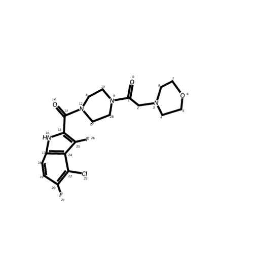 O=C(CN1CCOCC1)N1CCN(C(=O)c2[nH]c3ccc(F)c(Cl)c3c2F)CC1